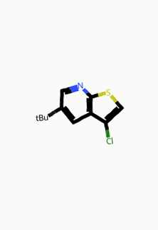 CC(C)(C)c1cnc2scc(Cl)c2c1